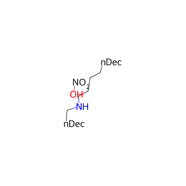 CCCCCCCCCCCCCCNCCCCCCCCCCC.O=[N+]([O-])O